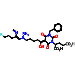 C=N/C(=C\N(N)CCCC/C(O)=C1\C(=O)N(Cc2ccccc2)C(=O)N([C@@H](CCC(=O)O)C(=O)O)C1=O)CCCF